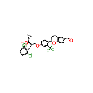 O=Cc1ccc2c(c1)CCC(c1ccc(OC/C(Cc3c(Cl)cccc3Cl)=C(/O)C3CC3)cc1C(F)(F)F)O2